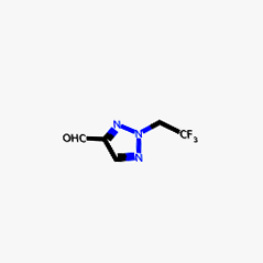 O=Cc1cnn(CC(F)(F)F)n1